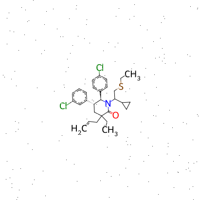 C=CCC1(CC)C[C@H](c2cccc(Cl)c2)[C@@H](c2ccc(Cl)cc2)N(C(CSCC)C2CC2)C1=O